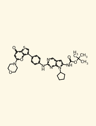 CC(C)(C)OC(=O)Nc1cc2cnc(Nc3ccc(-c4csc5c(=O)cc(N6CCOCC6)oc45)cc3)nc2n1C1CCCC1